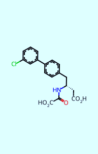 O=C(O)C[C@@H](Cc1ccc(-c2cccc(Cl)c2)cc1)NC(=O)C(=O)O